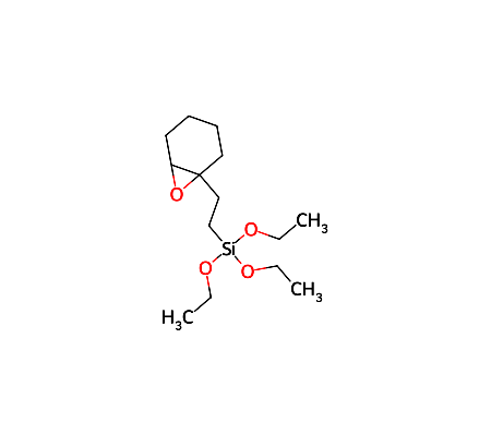 CCO[Si](CCC12CCCCC1O2)(OCC)OCC